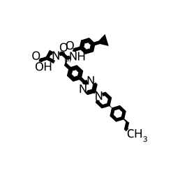 CCC[C@H]1CC[C@H](C2CCN(c3cnc(-c4ccc(C[C@H](NC(=O)c5ccc(C6CC6)cc5)C(=O)N5CC(C(=O)O)C5)cc4)nc3)CC2)CC1